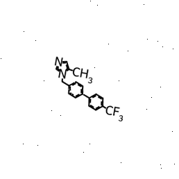 Cc1cncn1Cc1ccc(-c2ccc(C(F)(F)F)cc2)cc1